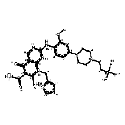 COc1cc(C2CCN(CCC(F)(F)F)CC2)ccc1Nc1ncc2c(=O)c(C(N)=O)c(N)n(Cc3cncs3)c2n1